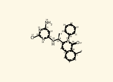 Cc1cccc2cc([C@H](C)Nc3cc(N)nc(Cl)n3)n(-c3ccccc3)c(=O)c12